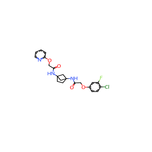 O=C(COc1ccc(Cl)c(F)c1)NC12CCC(NC(=O)COc3ccccn3)(C1)C2